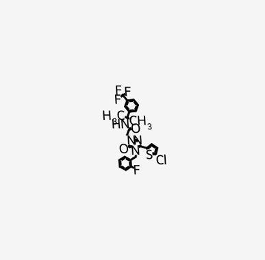 CC(C)(NC(=O)Cn1nc(-c2ccc(Cl)s2)n(Cc2ccccc2F)c1=O)c1cccc(C(F)(F)F)c1